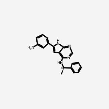 C[C@@H](Nc1ncnc2[nH]c(-c3cccc(N)c3)cc12)c1ccccc1